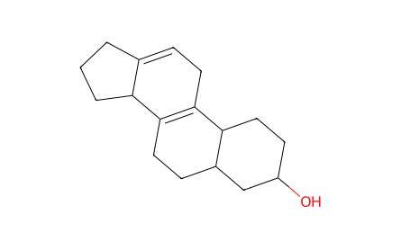 OC1CCC2C3=C(CCC2C1)C1CCCC1=CC3